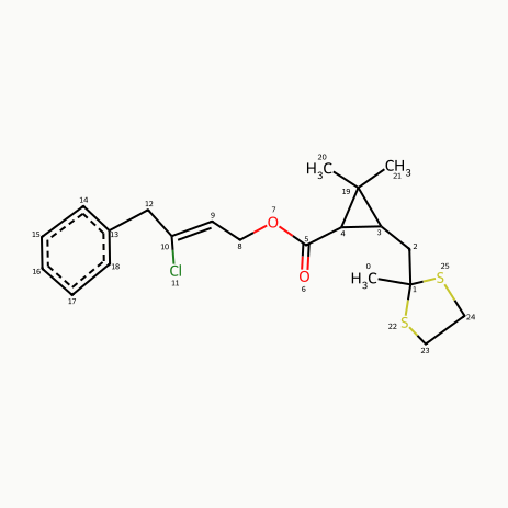 CC1(CC2C(C(=O)OC/C=C(\Cl)Cc3ccccc3)C2(C)C)SCCS1